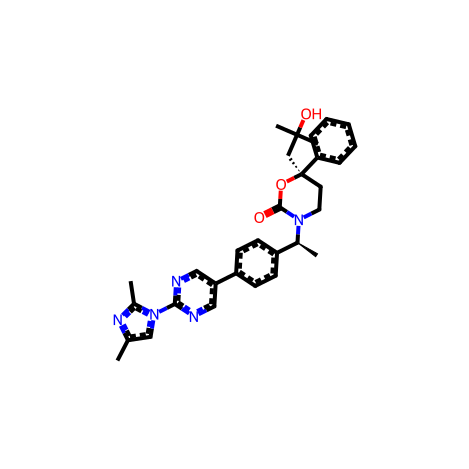 Cc1cn(-c2ncc(-c3ccc([C@H](C)N4CC[C@](CC(C)(C)O)(c5ccccc5)OC4=O)cc3)cn2)c(C)n1